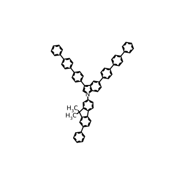 CC1(C)c2cc(-c3ccccc3)ccc2-c2ccc(-n3cc(-c4ccc(-c5ccc(-c6ccccc6)cc5)cc4)c4cc(-c5ccc(-c6ccc(-c7ccccc7)cc6)cc5)ccc43)cc21